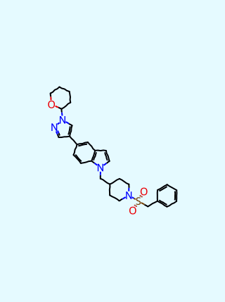 O=S(=O)(Cc1ccccc1)N1CCC(Cn2ccc3cc(-c4cnn(C5CCCCO5)c4)ccc32)CC1